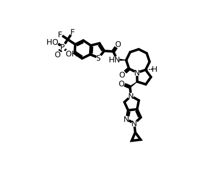 O=C(N[C@H]1CCCC[C@H]2CC[C@@H](C(=O)N3Cc4cn(C5CC5)nc4C3)N2C1=O)c1cc2cc(C(F)(F)P(=O)(O)O)ccc2s1